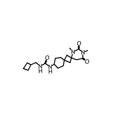 CN1C(=O)CC2(CC3(CCC(NC(=O)NCC4CCC4)CC3)C2)N(C)C1=O